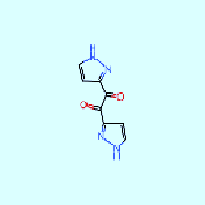 O=C(C(=O)c1cc[nH]n1)c1cc[nH]n1